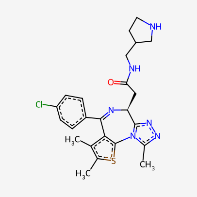 Cc1sc2c(c1C)C(c1ccc(Cl)cc1)=N[C@@H](CC(=O)NCC1CCNC1)c1nnc(C)n1-2